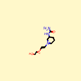 NC(=O)NC1CCCN(CCOCCO)C1